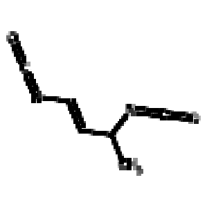 CC(/C=C/N=C=O)N=C=O